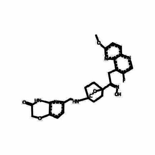 COc1ccc2ncc(F)c(CC(=NO)C34CCC(NCc5ccc6c(n5)NC(=O)CO6)(CC3)CO4)c2n1